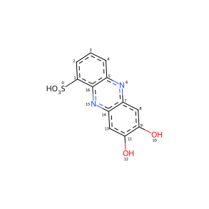 O=S(=O)(O)c1cccc2nc3cc(O)c(O)cc3nc12